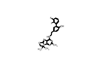 Cc1nc(NCCc2ccc(O)c(-c3cccc(F)c3F)c2)c2nc3n(c2n1)C(C)(C)CO3